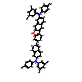 Cc1ccc(N(c2cc(C)cc(C)c2)c2ccc3cc(-c4ccc5c(c4)oc4cc6cc(N(c7ccc(C)cc7)c7cc(C)cc(C)c7)ccc6cc45)ccc3c2)cc1